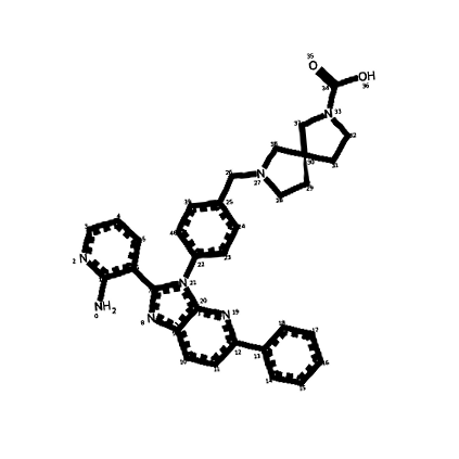 Nc1ncccc1-c1nc2ccc(-c3ccccc3)nc2n1-c1ccc(CN2CC[C@@]3(CCN(C(=O)O)C3)C2)cc1